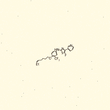 CC/C=C\CCCCOc1ccc(Nc2nc(-c3cccnc3)c(F)s2)cc1C(F)(F)F